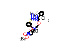 Cc1cccc(C)c1-c1cc2nc(n1)NSc1cccc(c1)C(=O)N(CC1CCN(C(=O)OC(C)(C)C)CC1)[C@H](CC(C)(C)C)CO2